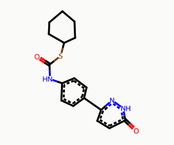 O=C(Nc1ccc(-c2ccc(=O)[nH]n2)cc1)SC1CCCCC1